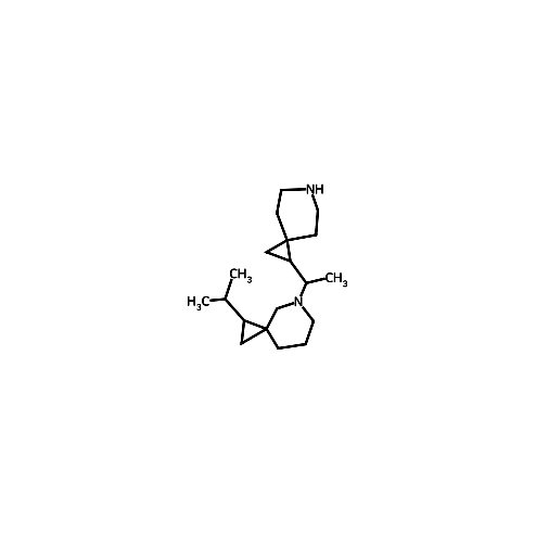 CC(C)C1CC12CCCN(C(C)C1CC13CCNCC3)C2